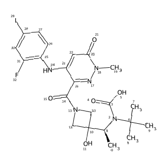 C[C@H](N(C(=O)O)C(C)(C)C)C1(O)CN(C(=O)c2nn(C)c(=O)cc2Nc2ccc(I)cc2F)C1